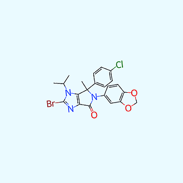 CC(C)n1c(Br)nc2c1C(C)(c1ccc(Cl)cc1)N(c1ccc3c(c1)OCO3)C2=O